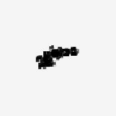 CCNc1cc(Nc2cc(F)c(S(=O)(=O)N3CCC(N4CCOCC4)CC3)cc2OC)nc2[nH]cc(C(F)(F)F)c12